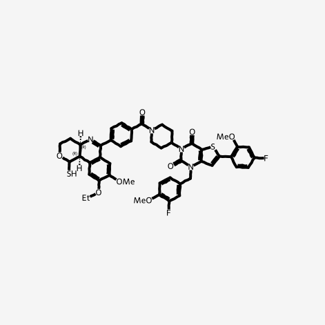 CCOc1cc2c(cc1OC)C(c1ccc(C(=O)N3CCC(n4c(=O)c5sc(-c6ccc(F)cc6OC)cc5n(Cc5ccc(OC)c(F)c5)c4=O)CC3)cc1)=N[C@@H]1CCOC(S)[C@H]21